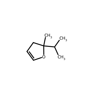 CC(C)C1(C)CC=CO1